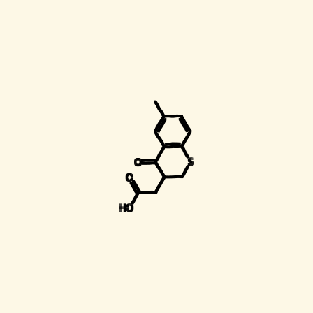 Cc1ccc2c(c1)C(=O)C(CC(=O)O)CS2